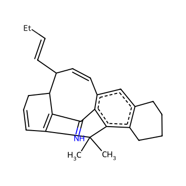 CCC=CC1/C=C\c2cc3c(c4c2C(=N)C2=C(C=CCC21)C4(C)C)CCCC3